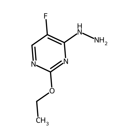 CCOc1ncc(F)c(NN)n1